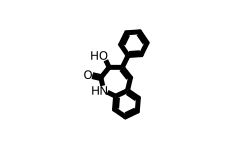 O=C1Nc2ccccc2C=C(c2ccccc2)C1O